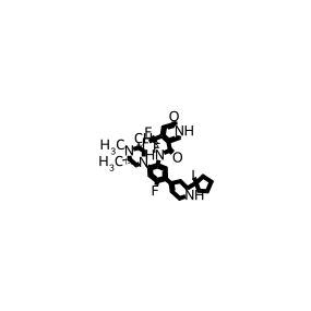 C[C@@H]1CN(c2cc(F)c(C3=CCNC(C4(I)CCCC4)C3)cc2NC(=O)c2c[nH]c(=O)cc2C(F)(F)F)C[C@H](C)N1C